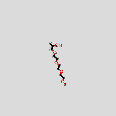 COCCOCCOCCOCC(C)O